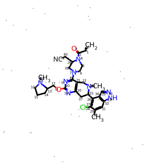 C=CC(=O)N1CCN(c2nc(OCC3CCCN3C)nc3c2CN(C)C(c2c(Cl)c(C)cc4[nH]ncc24)C3)CC1CC#N